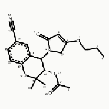 CCCOC1=CC(=O)N([C@@H]2c3cc(C#N)ccc3OC(C)(C)[C@H]2OC(C)=O)C1